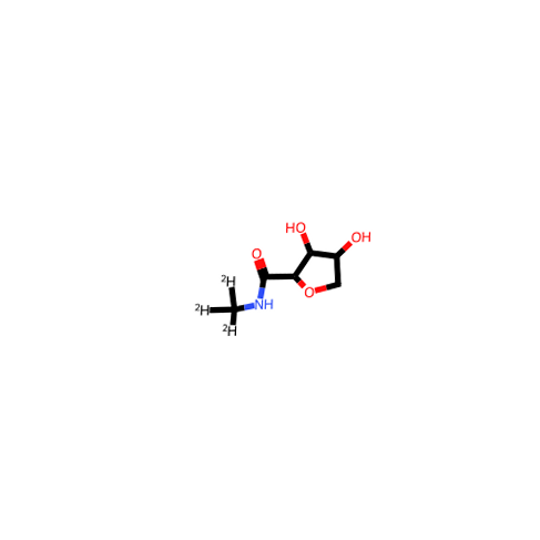 [2H]C([2H])([2H])NC(=O)C1OCC(O)C1O